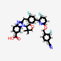 CC1(C)COCC1n1c(Cc2ccc(-c3nc(OCc4ccc(C#N)cc4F)ccc3F)cc2F)nc2ccc(C(=O)O)cc21